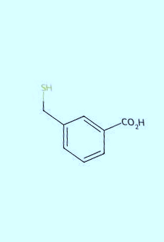 O=C(O)c1cccc(CS)c1